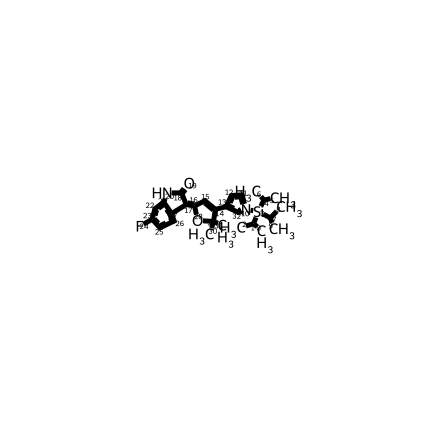 CC(C)[Si](C(C)C)(C(C)C)n1ccc(C2=C/C(=C3\C(=O)Nc4cc(F)ccc43)OC2(C)C)c1